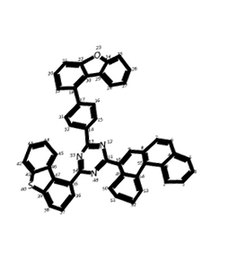 c1ccc2c(c1)ccc1cc(-c3nc(-c4ccc(-c5cccc6oc7ccccc7c56)cc4)nc(-c4cccc5sc6ccccc6c45)n3)c3ccccc3c12